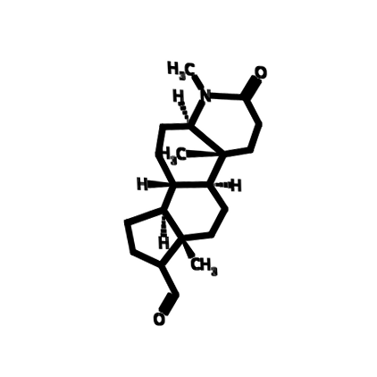 CN1C(=O)CC[C@]2(C)[C@H]3CC[C@]4(C)C(C=O)CC[C@H]4[C@@H]3CC[C@@H]12